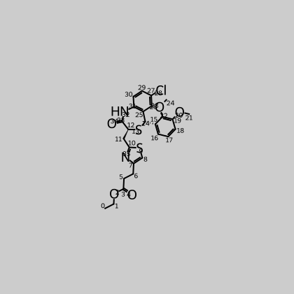 CCOC(=O)CCc1csc(C[C@@H]2S[C@@H](c3cccc(OC)c3OC)c3cc(Cl)ccc3NC2=O)n1